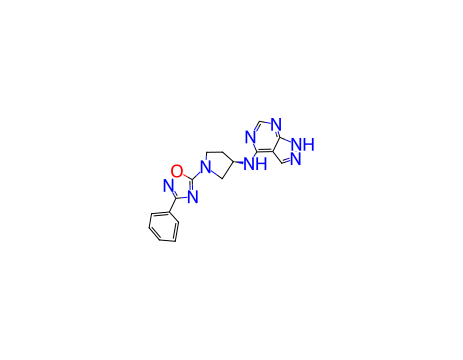 c1ccc(-c2noc(N3CC[C@@H](Nc4ncnc5[nH]ncc45)C3)n2)cc1